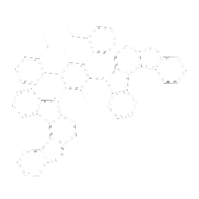 CCc1ccccc1-c1c(C)c(-c2ccccc2CC)c(-n2c3ccccc3c3c4c(ccc32)sc2ccccc24)c(C)c1-n1c2ccccc2c2c3c(ccc21)sc1ccccc13